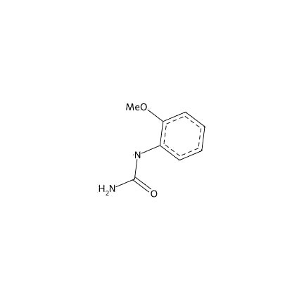 COc1ccccc1[N]C(N)=O